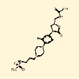 CS(=O)(=O)NCCCN1CCN(c2ccc(N3CC(CNC(O)=S)OC3=O)cc2F)CC1